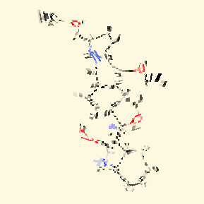 COCC1CCC(COC)N1Cc1ccc2c(c1)CO/C2=C1/C(=O)Nc2ccccc21